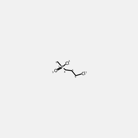 CP(=O)(Cl)CCCCl